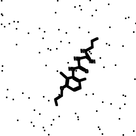 CCCNC(=N)NC(=O)Nc1c(C)ccc(OCCC)c1C